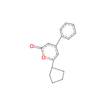 O=c1cc(-c2ccccc2)cc(C2CCCC2)o1